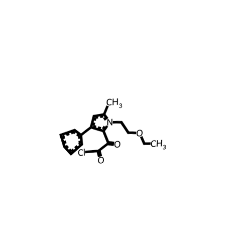 CCOCCn1c(C)cc(-c2ccccc2)c1C(=O)C(=O)Cl